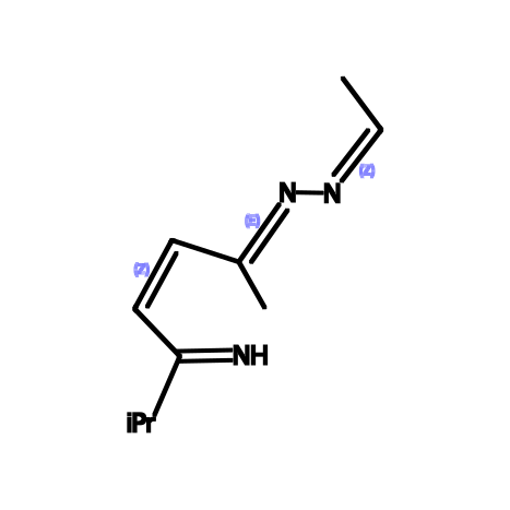 C\C=N/N=C(C)/C=C\C(=N)C(C)C